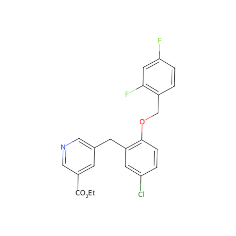 CCOC(=O)c1cncc(Cc2cc(Cl)ccc2OCc2ccc(F)cc2F)c1